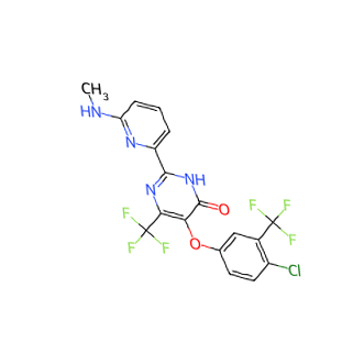 CNc1cccc(-c2nc(C(F)(F)F)c(Oc3ccc(Cl)c(C(F)(F)F)c3)c(=O)[nH]2)n1